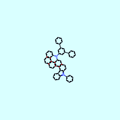 c1ccc(-c2cc(-c3ccccc3)cc(N(c3ccccc3-c3ccccc3)c3ccccc3-c3cccc(-c4cccc5c4c4ccccc4n5-c4ccccc4)c3)c2)cc1